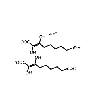 CCCCCCCCCCCCCCCC(O)=C(O)C(=O)[O-].CCCCCCCCCCCCCCCC(O)=C(O)C(=O)[O-].[Zn+2]